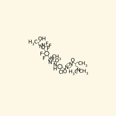 CCC(CCN(C)C)C(=O)N1CCN(C(=O)c2ccc(NC(=O)c3ncc(-c4ccc(-c5cn(CC(C)CO)nc5C(F)(F)F)c(F)c4F)n3C)cc2Cl)CC1